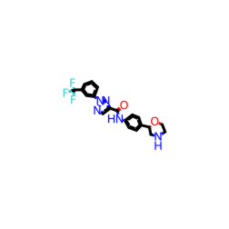 O=C(Nc1ccc(C2CNCCO2)cc1)c1cnn(-c2cccc(C(F)(F)F)c2)n1